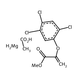 C=C(Oc1cc(Cl)c(Cl)cc1Cl)C(=O)OC.CC(=O)O.[MgH2]